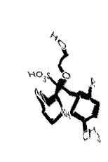 Cc1ccc(C(C)C)c(C(OCCO)(c2ncc[nH]2)S(=O)(=O)O)c1